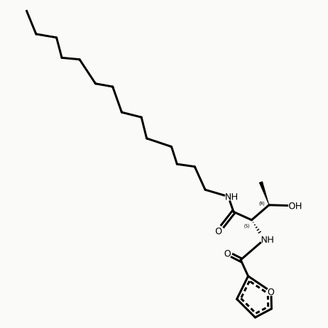 CCCCCCCCCCCCCCNC(=O)[C@@H](NC(=O)c1ccco1)[C@@H](C)O